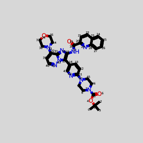 CC(C)(C)OC(=O)N1CCN(c2ccc(-c3c(NC(=O)c4ccc5ccccc5n4)nc4c(N5CCOCC5)ccnn34)cn2)CC1